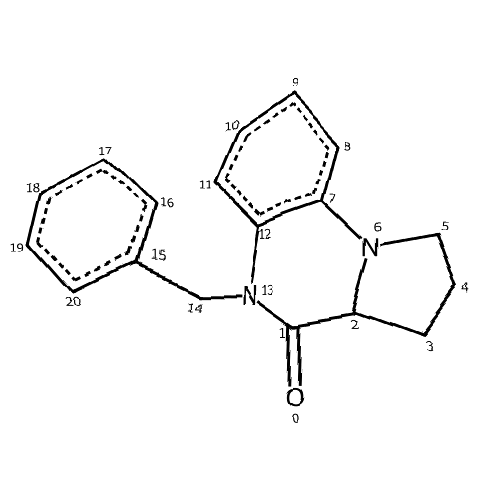 O=C1C2CCCN2c2ccccc2N1Cc1ccccc1